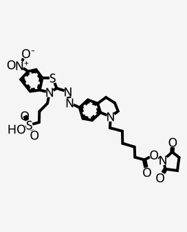 O=C(CCCCCN1CCCc2cc(N=NC3Sc4cc([N+](=O)[O-])ccc4N3CCCS(=O)(=O)O)ccc21)ON1C(=O)CCC1=O